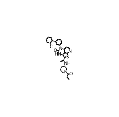 C=CC(=O)N1CCC[C@@H](NC(=C)c2sc3nccc4c3c2NC(=O)N4c2cccc(-c3ccccc3Cl)c2)C1